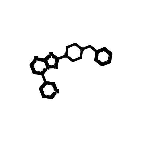 c1ccc(CN2CCN(c3nc4nccc(-c5cccnc5)n4n3)CC2)cc1